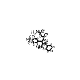 Cc1cc(C(F)(C(F)(F)F)C(F)(F)F)ccc1-c1c(C(=O)OC(N)=O)nn(-c2ccccc2)c1Br